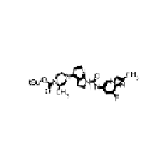 Cc1cn2cc(NC(=O)N3CCc4c(N5CCN(C(=O)OC(C)(C)C)[C@H](C)C5)ccnc43)cc(F)c2n1